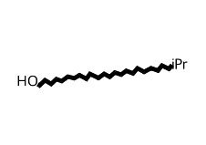 CC(C)CCCCCCCCCCCCCCCCCCCCCCCO